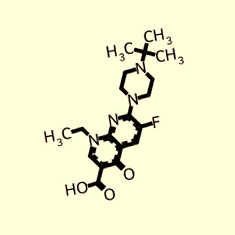 CCn1cc(C(=O)O)c(=O)c2cc(F)c(N3CCN(C(C)(C)C)CC3)nc21